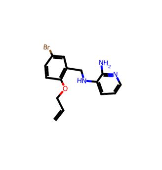 C=CCOc1ccc(Br)cc1CNc1cccnc1N